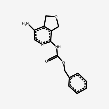 Nc1cnc(NC(=O)OCc2ccccc2)c2c1COC2